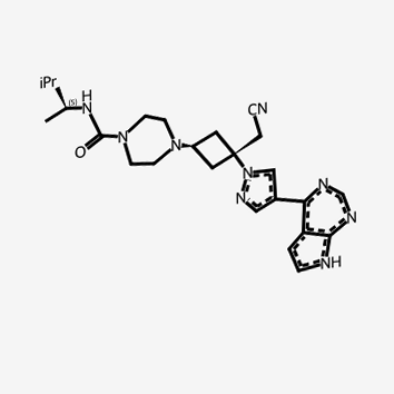 CC(C)[C@H](C)NC(=O)N1CCN([C@H]2C[C@](CC#N)(n3cc(-c4ncnc5[nH]ccc45)cn3)C2)CC1